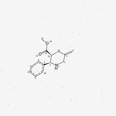 C=C1CN[C@@H](c2ccccc2)[C@@H](C(=O)OC)C1